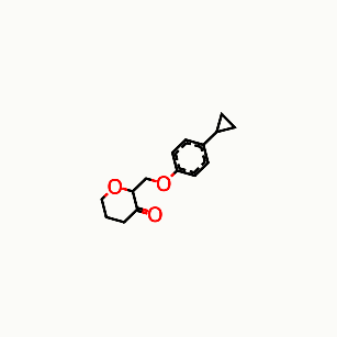 O=C1CCCOC1COc1ccc(C2CC2)cc1